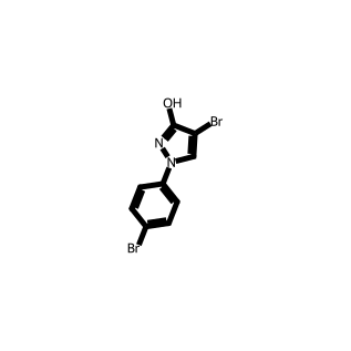 Oc1nn(-c2ccc(Br)cc2)cc1Br